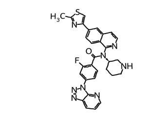 Cc1nc(-c2ccc3c(N(C(=O)c4ccc(-n5nnc6cccnc65)cc4F)[C@@H]4CCCNC4)nccc3c2)cs1